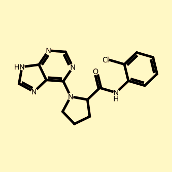 O=C(Nc1ccccc1Cl)C1CCCN1c1ncnc2[nH]cnc12